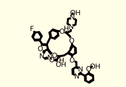 O=C(O)[C@H]1Cc2cc(ccc2OCc2ccnc(-c3ccccc3OO)n2)OC[C@@H](CN2CCN(O)CC2)Oc2ccc(cc2)-c2c(-c3ccc(F)cc3)oc3ncnc(c23)O1